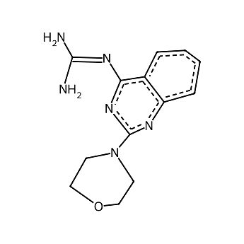 NC(N)=Nc1nc(N2CCOCC2)nc2ccccc12